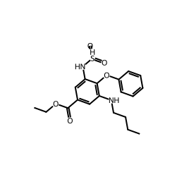 CCCCNc1cc(C(=O)OCC)cc(N[SH](=O)=O)c1Oc1ccccc1